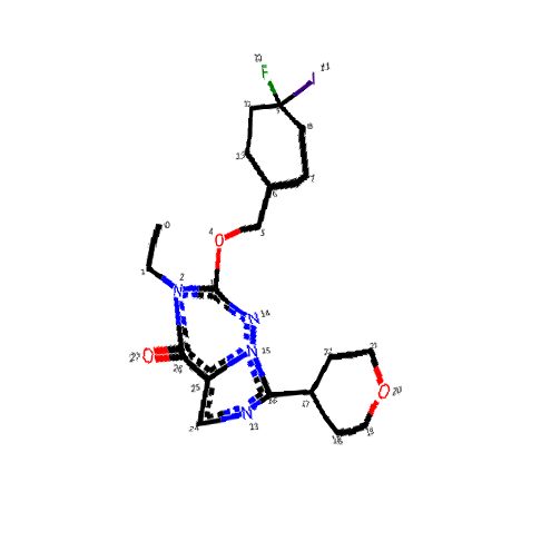 CCn1c(OCC2CCC(F)(I)CC2)nn2c(C3CCOCC3)ncc2c1=O